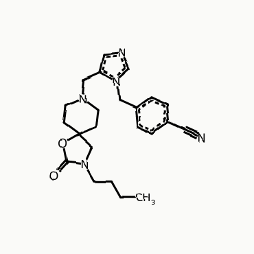 CCCCN1CC2(CCN(Cc3cncn3Cc3ccc(C#N)cc3)CC2)OC1=O